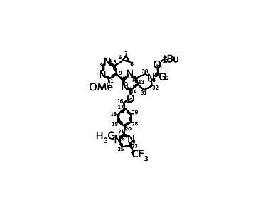 COc1ncnc(C2CC2)c1-c1nc2c(c(OCc3ccc(-c4nc(C(F)(F)F)cn4C)cc3)n1)CCN(C(=O)OC(C)(C)C)C2